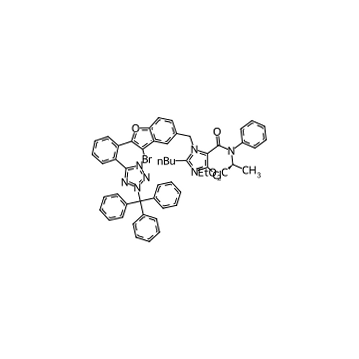 CCCCc1nc(Cl)c(C(=O)N(c2ccccc2)[C@@H](C)C(=O)OCC)n1Cc1ccc2oc(-c3ccccc3-c3nnn(C(c4ccccc4)(c4ccccc4)c4ccccc4)n3)c(Br)c2c1